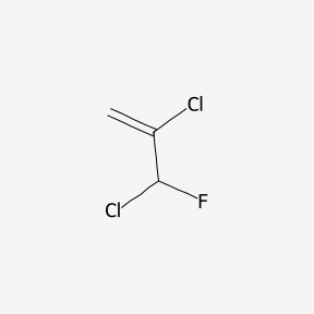 C=C(Cl)C(F)Cl